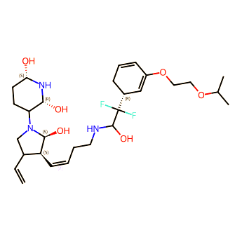 C=CC1CN(C2CC[C@H](O)N[C@@H]2O)[C@@H](O)[C@H]1/C=C\CCNC(O)C(F)(F)[C@H]1C=C(OCCOC(C)C)C=CC1